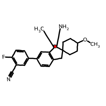 COC1CCC2(CC1)Cc1ccc(-c3ccc(F)c(C#N)c3)cc1C21N=C(C)C(N)=N1